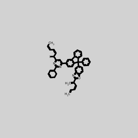 C=C/C=C\C(=C)c1nc2cc(C3(c4ccccc4)c4ccccc4-c4cc(-c5cc(C(I)/C=C\C=C/C)nc(C6=CC=CCC6)n5)ccc43)ccc2o1